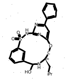 CC(C)C[C@@H]1COc2cc(-c3ccccc3)nc(n2)NS(=O)(=O)c2cccc(c2)C(O)N1